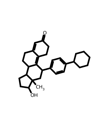 CC12CC(c3ccc(C4CCCCC4)cc3)C3=C4CCC(=O)C=C4CCC3C1CCC2O